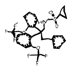 O=S(=O)(NCC(Cc1ccccc1)(c1ccccc1OC(F)(F)F)c1ccccc1OC(F)(F)F)C1CC1